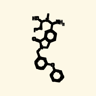 CN(C(O)SF)C(N)c1ccc2c(c1)C(=O)N(Cc1cccc(Oc3ccccc3)c1)C2